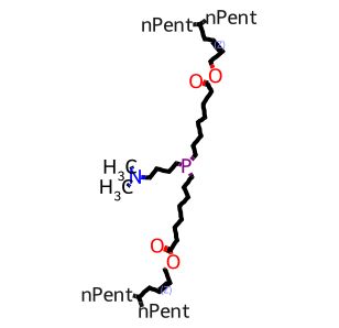 CCCCCC(C/C=C\COC(=O)CCCCCCCP(CCCCCCCC(=O)OC/C=C\CC(CCCCC)CCCCC)CCCCN(C)C)CCCCC